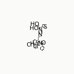 CN(C[C@@H](CCN1CCN(C(c2ccsc2)[C@@H](O)CO)CC1)c1ccc(Cl)c(Cl)c1)C(=O)c1ccccc1